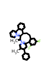 C=C1C2C(CCc3cc(F)cc(F)c3-c3cc(-c4ccccc4)c(C)c[n+]31)c1ccccc1-c1cccc[n+]12